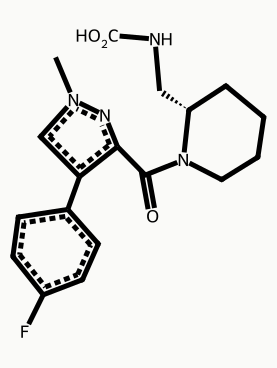 Cn1cc(-c2ccc(F)cc2)c(C(=O)N2CCCC[C@H]2CNC(=O)O)n1